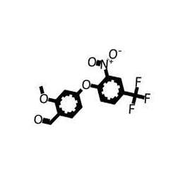 COc1cc(Oc2ccc(C(F)(F)F)cc2[N+](=O)[O-])ccc1C=O